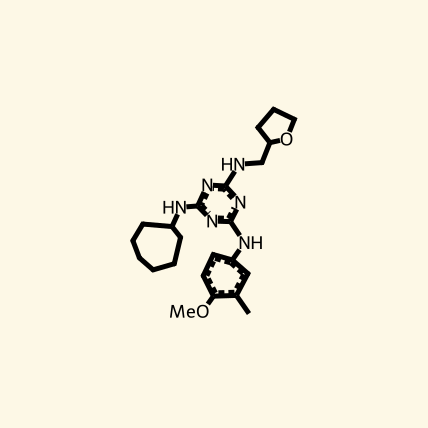 COc1ccc(Nc2nc(NCC3CCCO3)nc(NC3CCCCCC3)n2)cc1C